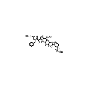 CC(=O)OC(CC(C(C)C)N(C)C(=O)C(NC(=O)C1C[C@H](O[Si](C)(C)C(C)(C)C)CCN1C)C(C)C)c1nc(C(=O)NC(Cc2ccccc2)CC(C)C(=O)O)cs1